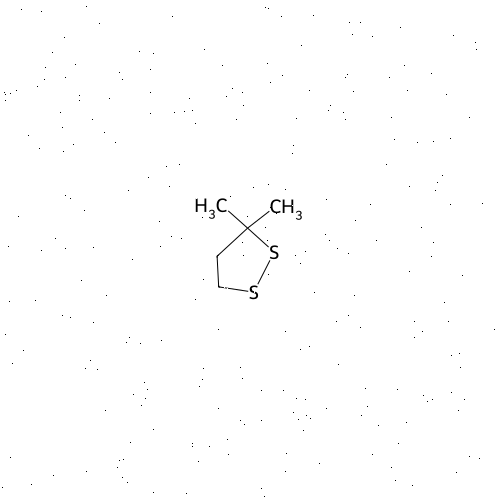 CC1(C)CCSS1